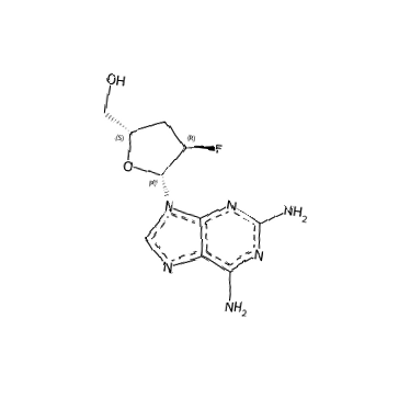 Nc1nc(N)c2ncn([C@@H]3O[C@H](CO)C[C@H]3F)c2n1